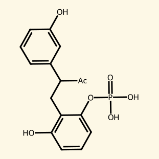 CC(=O)C(Cc1c(O)cccc1OP(=O)(O)O)c1cccc(O)c1